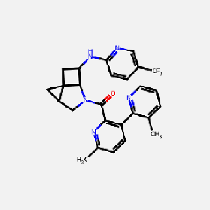 Cc1ccc(-c2ncccc2C)c(C(=O)N2CC3CC34CC(Nc3ccc(C(F)(F)F)cn3)C24)n1